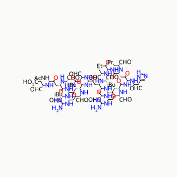 CCC(=O)[C@@H](NC(=O)[C@@H](CC(=O)[C@@H](NC(=O)[C@@H](CC(=O)[C@@H](NC(=O)[C@@H](CC(=O)[C@@H](NC(=O)[C@@H](CC(=O)[C@@H](NC(=O)[C@@H](CC(=O)[C@@H](NC(C)=O)N[C@H](C=O)CC(=O)O)N[C@H](C=O)[C@@H](C)CC)N[C@H](C=O)[C@@H](C)CC)N[C@H](C=O)CCCNC(=N)N)N[C@H](C=O)CC(N)=O)N[C@H](C=O)[C@@H](C)CC)N[C@@H](C)C=O)N[C@H](C=O)CCCNC(=N)N)N[C@H](C=O)Cc1cnc[nH]1)N[C@H](C=O)CC(C)C)N[C@@H](C)C=O